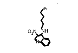 CC(C)CCCCCNc1c([N+](=O)[O-])cnc2ccccc12